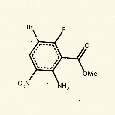 COC(=O)c1c(N)c([N+](=O)[O-])cc(Br)c1F